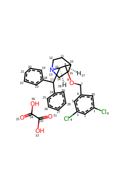 Clc1cc(Cl)cc(CO[C@@H]2C3CCN(CC3)[C@@H]2C(c2ccccc2)c2ccccc2)c1.O=C(O)C(=O)O